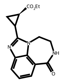 CCOC(=O)[C@@H]1CC1c1nc2cccc3c2n1CCNC3=O